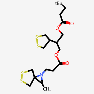 CC1N(CCC(=O)OCC(COC(=O)CCC(C)(C)C)C2CSSC2)C12CSSC2